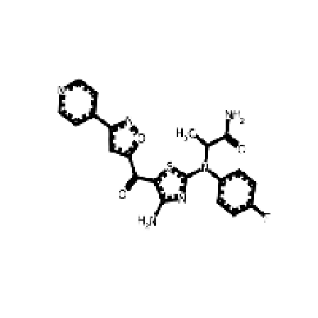 CC(C(N)=O)N(c1ccc(F)cc1)c1nc(N)c(C(=O)c2cc(-c3ccncc3)no2)s1